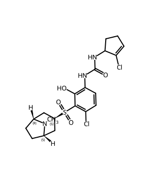 CN1[C@@H]2CC[C@H]1C[C@H](S(=O)(=O)c1c(Cl)ccc(NC(=O)NC3CCC=C3Cl)c1O)C2